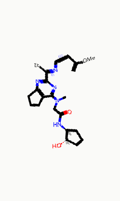 C=C(/C=C\N=C(/CC)c1nc2c(c(N(C)CC(=O)N[C@H]3CCC[C@@H]3O)n1)CCC2)OC